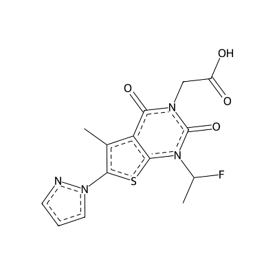 Cc1c(-n2cccn2)sc2c1c(=O)n(CC(=O)O)c(=O)n2C(C)F